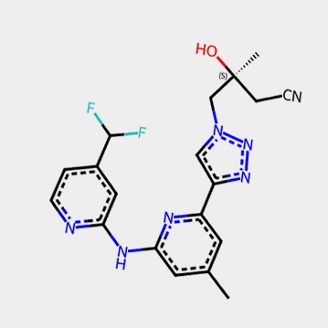 Cc1cc(Nc2cc(C(F)F)ccn2)nc(-c2cn(C[C@@](C)(O)CC#N)nn2)c1